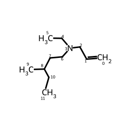 C=CCN(CC)CCC(C)CC